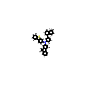 CC1(C)c2ccccc2-c2ccc(N(c3cccc(-c4cccc5ccccc45)c3)c3ccc4c(c3)sc3ccccc34)cc21